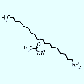 CC(=O)[O-].CCCCCCCCCCCCCCCCCCN.[K+]